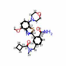 COc1ccc(N2CCOCC2)c2sc(-c3cc(CN(C)C(=O)C4CCC4)ccc3C(N)=O)nc12